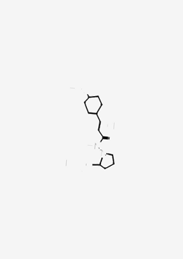 CC1CCC(CCC(=O)NN2CCCC2C(=O)O)CC1.Cl